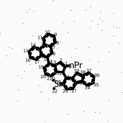 CCCC1=Cc2c(-c3cc4ccccc4c4ccccc34)cccc2C1c1c2c(ccc1=[Si](C)C)=c1ccccc1=[C]2